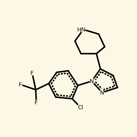 FC(F)(F)c1ccc(-n2nccc2C2CCNCC2)c(Cl)c1